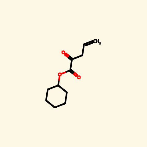 C=CCC(=O)C(=O)OC1CCCCC1